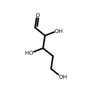 O=CC(O)C(O)CCO